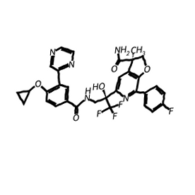 C[C@]1(C(N)=O)COc2c1cc([C@@](O)(CNC(=O)c1ccc(OC3CC3)c(-c3cnccn3)c1)C(F)(F)F)nc2-c1ccc(F)cc1